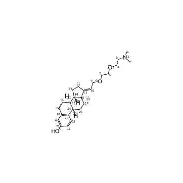 CN(C)CCOCCOC/C=C1\CC[C@H]2[C@@H]3CCc4cc(O)ccc4[C@H]3CC[C@]12C